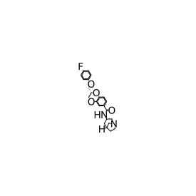 O=C(N[C@@H]1C[C@H]2CCN(C2)C1)c1ccc2c(c1)OC[C@H](COc1ccc(F)cc1)O2